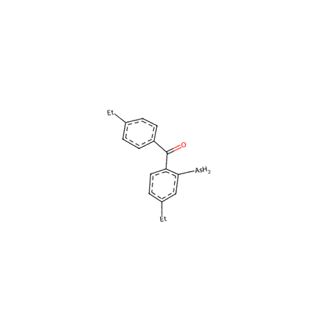 CCc1ccc(C(=O)c2ccc(CC)cc2[AsH2])cc1